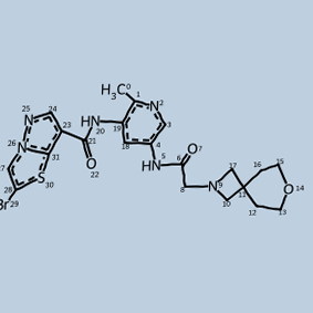 Cc1ncc(NC(=O)CN2CC3(CCOCC3)C2)cc1NC(=O)c1cnn2cc(Br)sc12